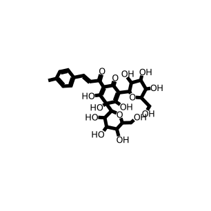 Cc1ccc(/C=C/C(=O)C2=C(O)C(O)(C3OC(CO)C(O)C(O)C3O)C(O)=C(C3OC(CO)C(O)C(O)C3O)C2=O)cc1